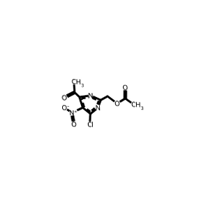 CC(=O)OCc1nc(Cl)c([N+](=O)[O-])c(C(C)=O)n1